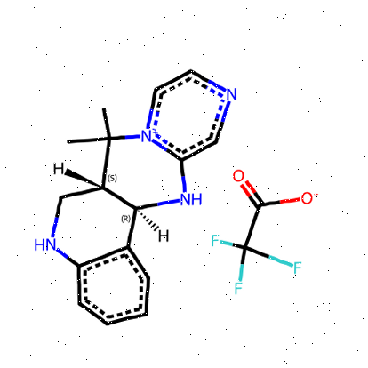 CC1(C)[C@H]2CNc3ccccc3[C@@H]2Nc2cncc[n+]21.O=C([O-])C(F)(F)F